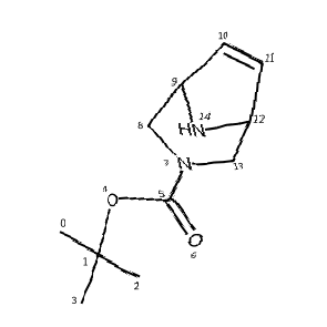 CC(C)(C)OC(=O)N1CC2C=CC(C1)N2